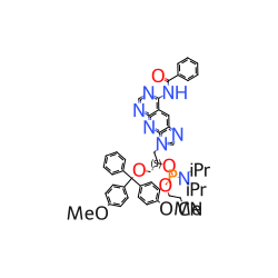 COc1ccc(C(OC[C@H](Cn2cnc3cc4c(NC(=O)c5ccccc5)ncnc4nc32)OP(OCCC#N)N(C(C)C)C(C)C)(c2ccccc2)c2ccc(OC)cc2)cc1